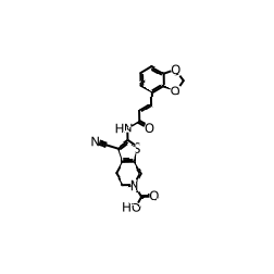 N#Cc1c(NC(=O)C=Cc2cccc3c2OCO3)sc2c1CCN(C(=O)O)C2